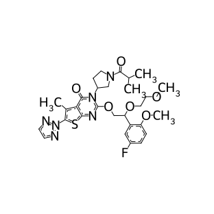 COCCOC(COc1nc2sc(-n3nccn3)c(C)c2c(=O)n1C1CCN(C(=O)C(C)C)C1)c1cc(F)ccc1OC